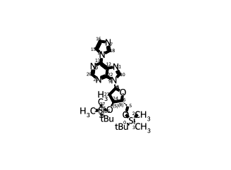 CC(C)(C)[Si](C)(C)OC[C@H]1O[C@@H](n2cnc3c(-n4ccnc4)ncnc32)C[C@@H]1O[Si](C)(C)C(C)(C)C